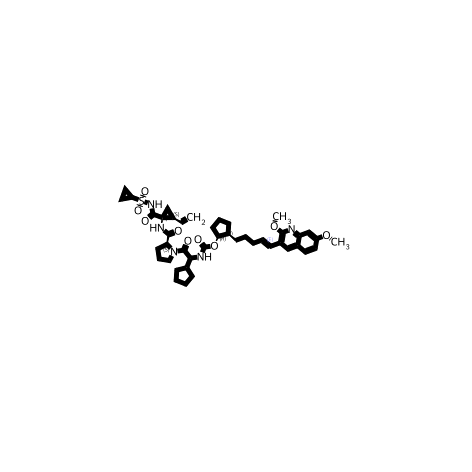 C=C[C@@H]1C[C@]1(NC(=O)[C@@H]1CCCN1C(=O)C(NC(=O)O[C@@H]1CCC[C@H]1CCC/C=C/c1cc2ccc(OC)cc2nc1OC)C1CCCC1)C(=O)NS(=O)(=O)C1CC1